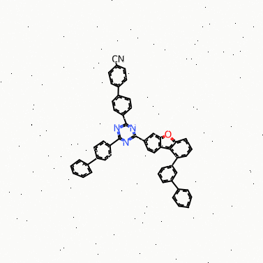 N#Cc1ccc(-c2ccc(-c3nc(-c4ccc(-c5ccccc5)cc4)nc(-c4ccc5c(c4)oc4cccc(-c6cccc(-c7ccccc7)c6)c45)n3)cc2)cc1